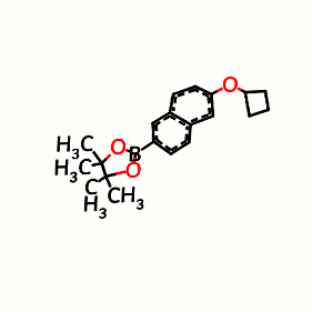 CC1(C)OB(c2ccc3cc(OC4CCC4)ccc3c2)OC1(C)C